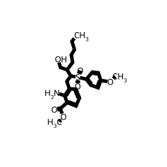 CCCCCC(CO)C(Cc1cccc(C(=O)OC)c1N)S(=O)(=O)c1ccc(OC)cc1